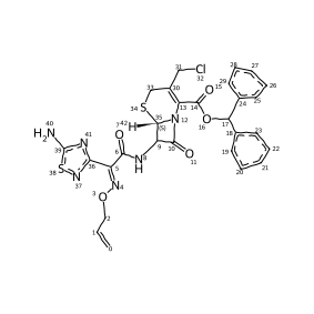 C=CCON=C(C(=O)NC1C(=O)N2C(C(=O)OC(c3ccccc3)c3ccccc3)=C(CCl)CS[C@@H]12)c1nsc(N)n1